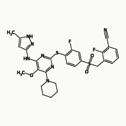 COc1c(Nc2cc(C)[nH]n2)nc(Sc2ccc(S(=O)(=O)Cc3cccc(C#N)c3F)cc2F)nc1N1CCCCC1